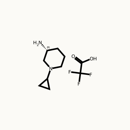 N[C@@H]1CCCN(C2CC2)C1.O=C(O)C(F)(F)F